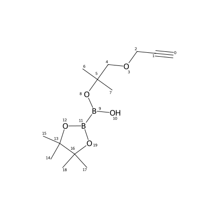 C#CCOCC(C)(C)OB(O)B1OC(C)(C)C(C)(C)O1